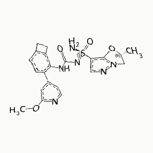 COc1cc(-c2ccc3c(c2NC(=O)N=[S@](N)(=O)c2cnn4c2O[C@H](C)C4)CC3)ccn1